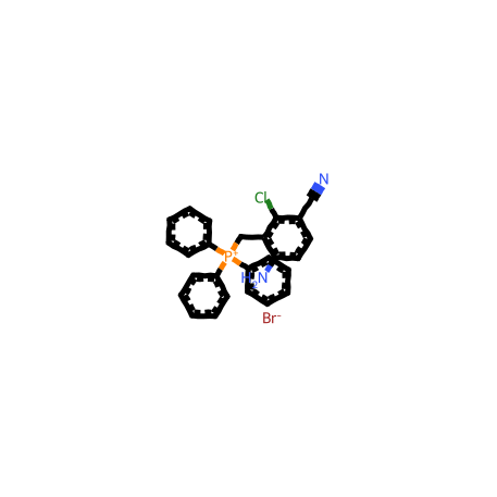 N#Cc1ccc(N)c(C[P+](c2ccccc2)(c2ccccc2)c2ccccc2)c1Cl.[Br-]